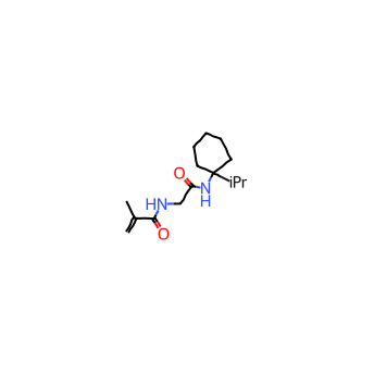 C=C(C)C(=O)NCC(=O)NC1(C(C)C)CCCCC1